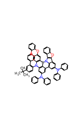 CC(C)(C)c1ccc(N2c3cc4c(cc3B3c5c(cc(N(c6ccccc6)c6ccccc6)cc52)-c2cc(N(c5ccccc5)c5ccccc5)cc5c6oc7ccccc7c6n3c25)Oc2ccccc2O4)c(-c2ccccc2)c1